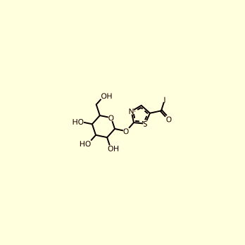 O=C(I)c1cnc(OC2OC(CO)C(O)C(O)C2O)s1